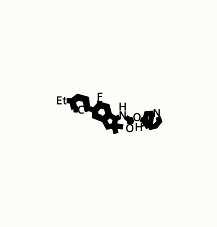 CCc1ccc(-c2cc3c(cc2F)C(NC(=O)O[C@H]2CN4CCC2CC4)C(C)(C)C3)cc1